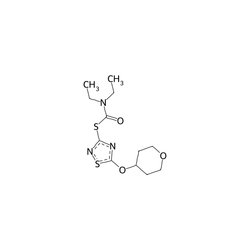 CCN(CC)C(=O)Sc1nsc(OC2CCOCC2)n1